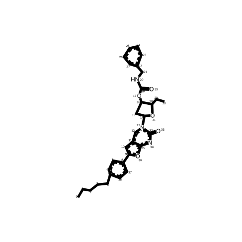 CCCCCc1ccc(-c2cc3cn(C4CC(OC(=O)NCc5ccccc5)C(CC)O4)c(=O)nc3o2)cc1